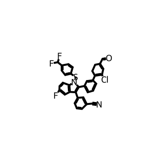 N#Cc1cccc(-c2c(-c3cccc(C4=C(Cl)C=C(C=O)CC4)c3)n(Sc3ccc(C(F)F)cc3)c3ccc(F)cc23)c1